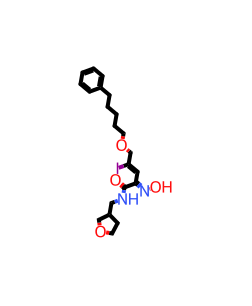 O=C(NCC1CCOC1)C(/C=C(\I)COCCCCCc1ccccc1)=N/O